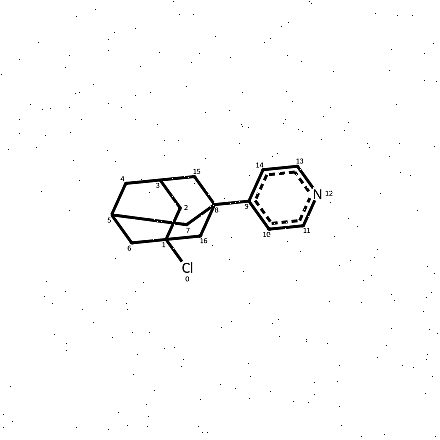 ClC12CC3CC(C1)CC(c1ccncc1)(C3)C2